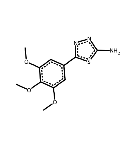 COc1cc(-c2nnc(N)s2)cc(OC)c1OC